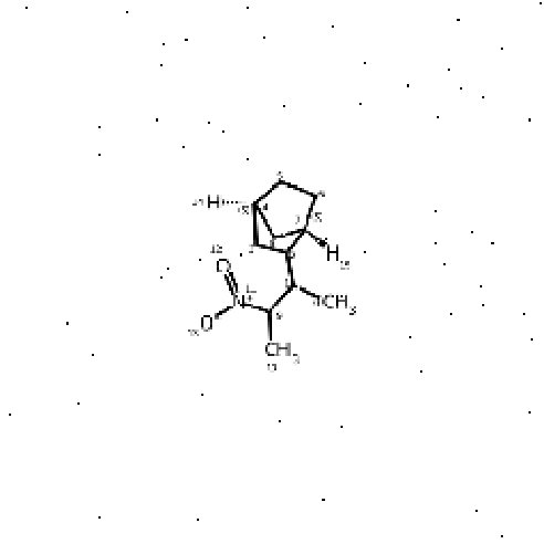 CC(C1C[C@H]2CC[C@H]1C2)C(C)[N+](=O)[O-]